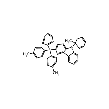 Cc1ccc([Si](c2ccccc2)(c2ccc(C)cc2)c2ccc3c(c2)c2ccccc2n3C2(C)C=CC=CC2)cc1